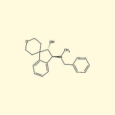 CN(Cc1ccccc1)[C@H]1c2ccccc2C2(CCOCC2)[C@@H]1O